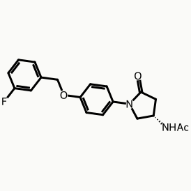 CC(=O)N[C@H]1CC(=O)N(c2ccc(OCc3cccc(F)c3)cc2)C1